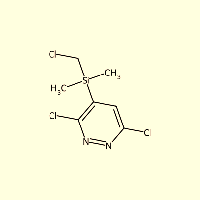 C[Si](C)(CCl)c1cc(Cl)nnc1Cl